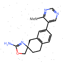 CNc1ncncc1-c1ccc2c(c1)C[C@@]1(CC2)COC(N)=N1